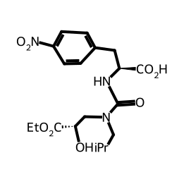 CCOC(=O)[C@@H](O)CN(CC(C)C)C(=O)N[C@@H](Cc1ccc([N+](=O)[O-])cc1)C(=O)O